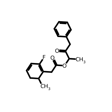 CC1CC=CC(F)=C1CC(=O)OC(C)C(=O)Cc1ccccc1